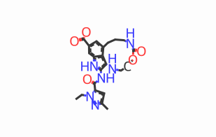 CCn1nc(C)cc1C(=O)Nc1[nH]c2cc(C(=O)OC)cc3c2c1NCCOC(=O)NCCC3